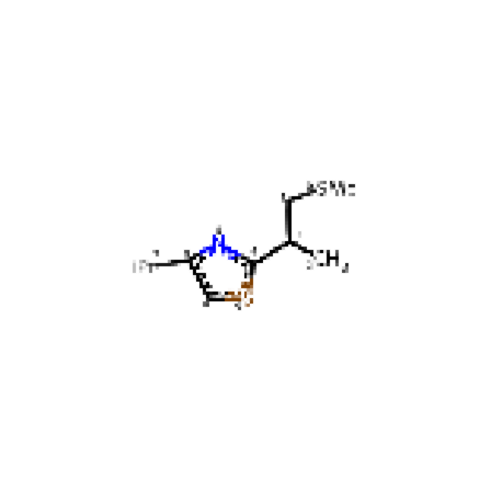 CSCC(C)c1nc(C(C)C)cs1